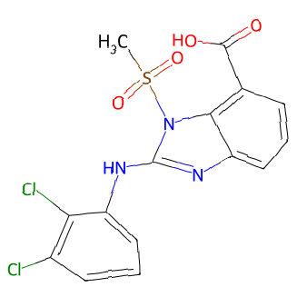 CS(=O)(=O)n1c(Nc2cccc(Cl)c2Cl)nc2cccc(C(=O)O)c21